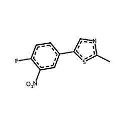 Cc1ncc(-c2ccc(F)c([N+](=O)[O-])c2)s1